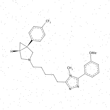 COc1cccc(-c2nnc(CCCCCN3C[C@@H]4C[C@]4(c4ccc(C(F)(F)F)cc4)C3)n2C)c1